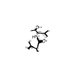 CC(=O)[C@@H](NC(=O)C(C)C(C)C)C(C)C